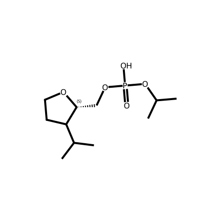 CC(C)OP(=O)(O)OC[C@H]1OCCC1C(C)C